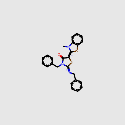 CN1/C(=C2/S/C(=N\Cc3ccccc3)N(Cc3ccccc3)C2=O)Sc2ccccc21